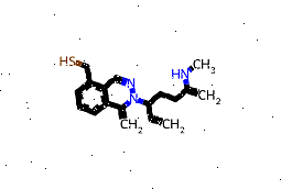 C=CC(CCC(=C)NC)N1N=Cc2c(CS)cccc2C1=C